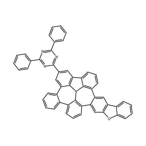 c1ccc(-c2nc(-c3ccccc3)nc(-c3cc4c5c(c3)c3cccc6c3n5-c3c(cccc3-c3cc5oc7ccccc7c5cc3-6)-c3ccccc3-4)n2)cc1